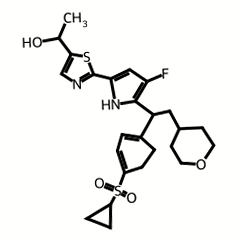 CC(O)c1cnc(-c2cc(F)c(C(CC3CCOCC3)C3=CC=C(S(=O)(=O)C4CC4)CC3)[nH]2)s1